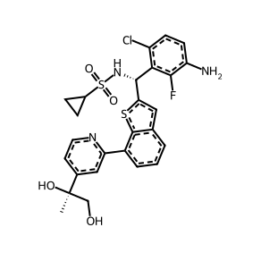 C[C@@](O)(CO)c1ccnc(-c2cccc3cc([C@H](NS(=O)(=O)C4CC4)c4c(Cl)ccc(N)c4F)sc23)c1